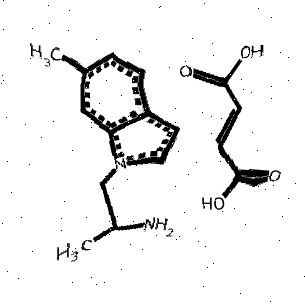 Cc1ccc2ccn(CC(C)N)c2c1.O=C(O)/C=C/C(=O)O